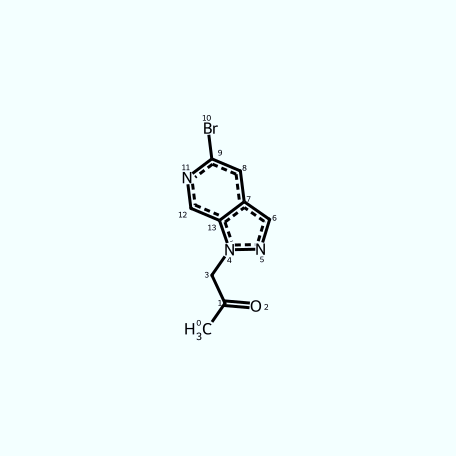 CC(=O)Cn1ncc2cc(Br)ncc21